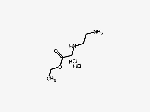 CCOC(=O)CNCCN.Cl.Cl